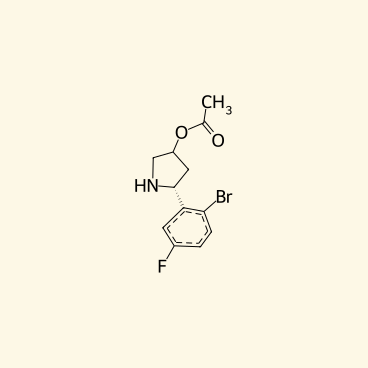 CC(=O)OC1CN[C@@H](c2cc(F)ccc2Br)C1